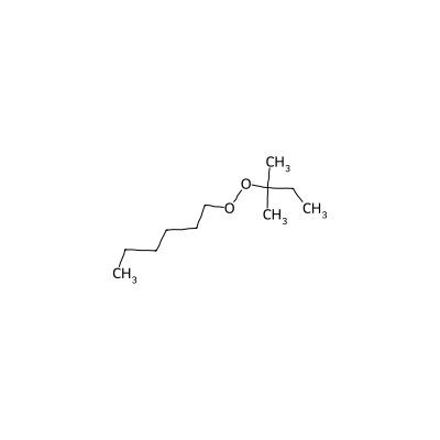 CCCCCCOOC(C)(C)CC